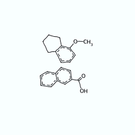 COc1cccc2c1CCCC2.O=C(O)c1ccc2ccccc2c1